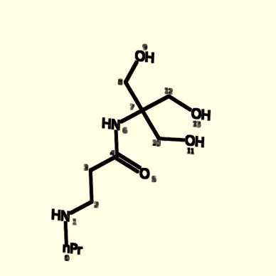 CCCNCCC(=O)NC(CO)(CO)CO